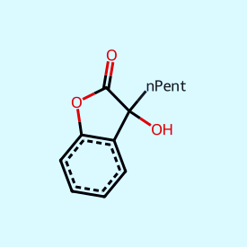 CCCCCC1(O)C(=O)Oc2ccccc21